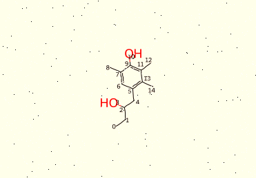 CCC(O)Cc1cc(C)c(O)c(C)c1C